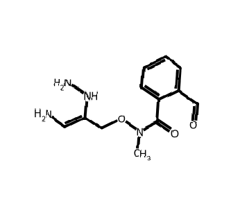 CN(OC/C(=C/N)NN)C(=O)c1ccccc1C=O